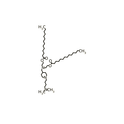 CCCCCCCCCCCCCC(=O)OCCN(CCOC(=O)CCCCCCCCCCCCC)CC1CCN(CCCCN(C)C)CC1